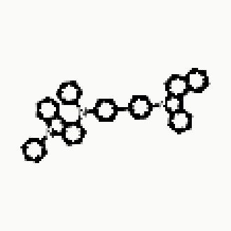 c1ccc(N(c2ccc(-c3ccc(-n4c5ccccc5c5c6ccccc6ccc54)cc3)cc2)c2cccc3c2c2ccccc2n3-c2ccccc2)cc1